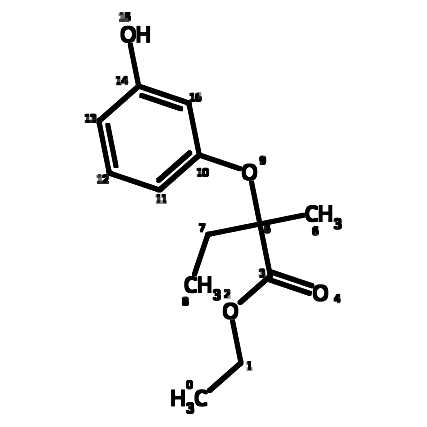 CCOC(=O)C(C)(CC)Oc1cccc(O)c1